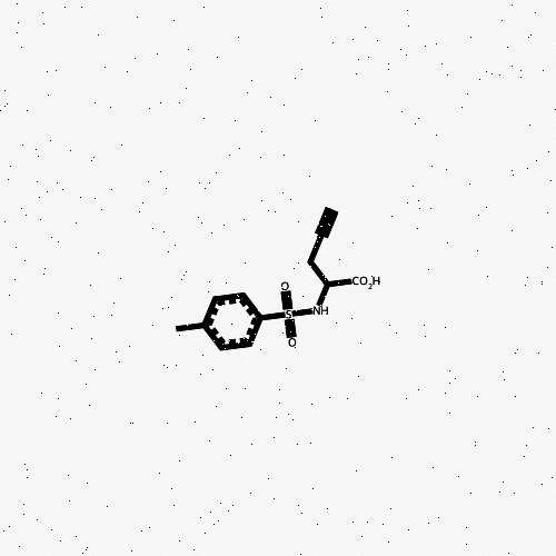 C#CCC(NS(=O)(=O)c1ccc(C)cc1)C(=O)O